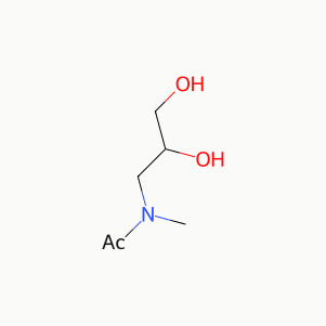 CC(=O)N(C)CC(O)CO